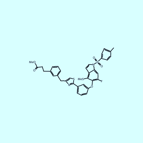 COC(=O)CCc1cccc(Cc2csc(-c3cccc(Oc4c(F)cc5c(ccn5S(=O)(=O)c5ccc(C)cc5)c4SC)c3)n2)c1